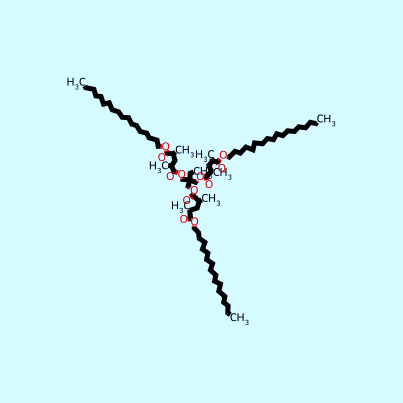 CCCCCCCCCCCCCCCCCCOC(=O)C(C)CC(C)C(=O)OCC(CC)(COC(=O)C(C)CC(C)C(=O)OCCCCCCCCCCCCCCCCCC)COC(=O)C(C)CC(C)C(=O)OCCCCCCCCCCCCCCCCCC